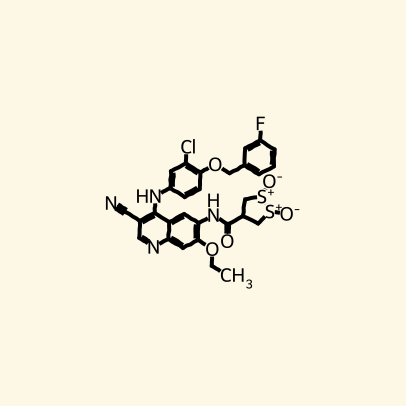 CCOc1cc2ncc(C#N)c(Nc3ccc(OCc4cccc(F)c4)c(Cl)c3)c2cc1NC(=O)C1C[S+]([O-])[S+]([O-])C1